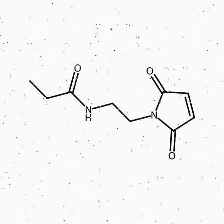 CCC(=O)NCCN1C(=O)C=CC1=O